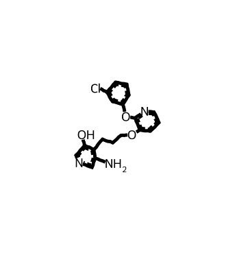 Nc1cncc(O)c1CCCOc1cccnc1Oc1cccc(Cl)c1